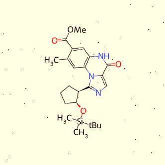 COC(=O)c1cc2[nH]c(=O)c3cnc([C@@H]4CCC[C@@H]4O[Si](C)(C)C(C)(C)C)n3c2cc1C